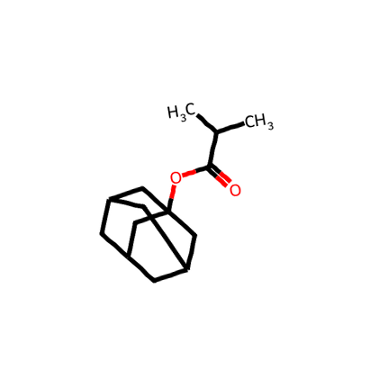 CC(C)C(=O)OC12CC3CC(CC(C3)C1)C2